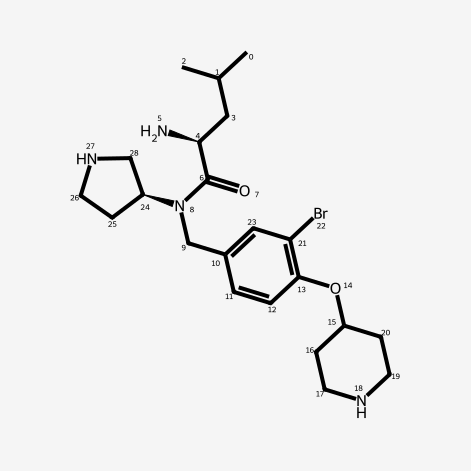 CC(C)C[C@H](N)C(=O)N(Cc1ccc(OC2CCNCC2)c(Br)c1)[C@H]1CCNC1